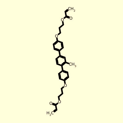 C=CC(=O)OCCCOc1ccc(-c2ccc(-c3ccc(OCCCOC(=O)C=C)cc3)c(C)c2)cc1